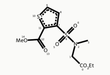 CCOC(=O)CN(C)S(=O)(=O)c1ccsc1C(=O)OC